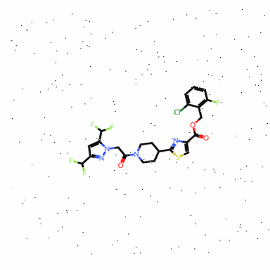 O=C(OCc1c(F)cccc1Cl)c1csc(C2CCN(C(=O)Cn3nc(C(F)F)cc3C(F)F)CC2)n1